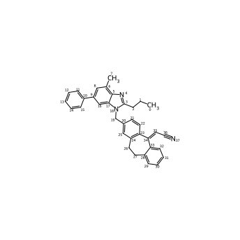 CCCc1nc2c(C)cc(-c3ccccc3)cc2n1Cc1ccc2c(c1)CCc1ccccc1/C2=C\C#N